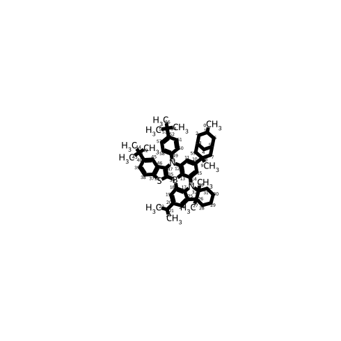 CC1CC2CC(C1)CC(C)(c1cc3c4c(c1)N1c5c(cc(C(C)C)cc5C5(C)CCCCC15C)B4c1sc4ccc(C(C)(C)C)cc4c1N3c1ccc(C(C)(C)C)cc1)C2